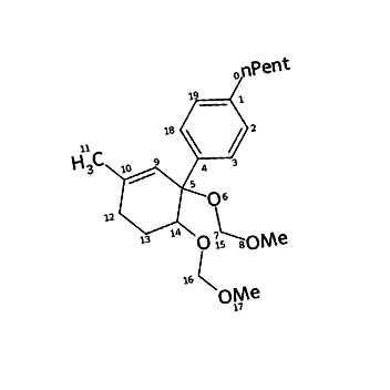 CCCCCc1ccc(C2(OCOC)C=C(C)CCC2OCOC)cc1